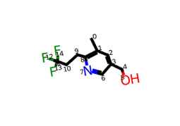 Cc1cc(CO)cnc1CCC(F)(F)F